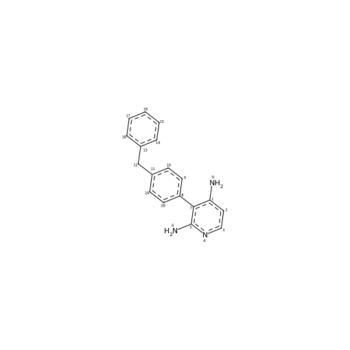 Nc1ccnc(N)c1-c1ccc(Cc2ccccc2)cc1